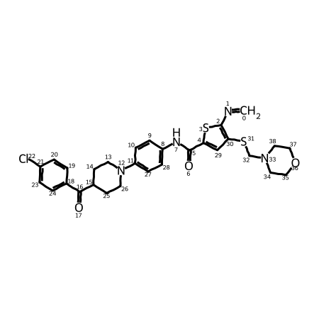 C=Nc1sc(C(=O)Nc2ccc(N3CCC(C(=O)c4ccc(Cl)cc4)CC3)cc2)cc1SCN1CCOCC1